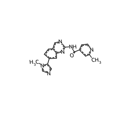 Cc1cc(C(=O)Nc2ncc3ccc(-c4cncn4C)cc3n2)ccn1